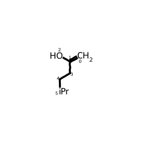 C=C(O)CCC(C)C